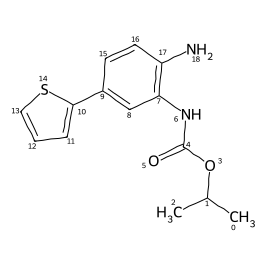 CC(C)OC(=O)Nc1cc(-c2cccs2)ccc1N